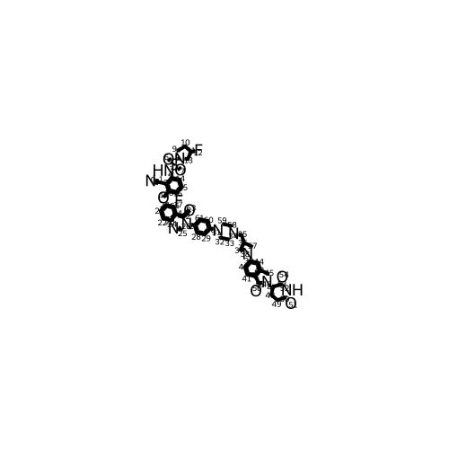 N#Cc1c(NS(=O)(=O)N2CCC(F)C2)ccc(F)c1Oc1ccc2ncn(-c3ccc(N4CCN(CC5CN(c6ccc7c(c6)CN(C6CCC(=O)NC6=O)C7=O)C5)CC4)cc3)c(=O)c2c1